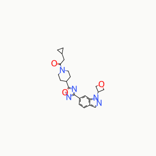 O=C(CC1CC1)N1CCC(c2nc(-c3ccc4cnn(C5COC5)c4c3)no2)CC1